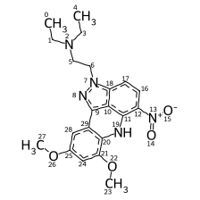 CCN(CC)CCn1nc2c3c(c([N+](=O)[O-])ccc31)Nc1c(OC)cc(OC)cc1-2